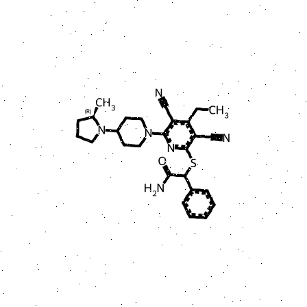 CCc1c(C#N)c(SC(C(N)=O)c2ccccc2)nc(N2CCC(N3CCC[C@H]3C)CC2)c1C#N